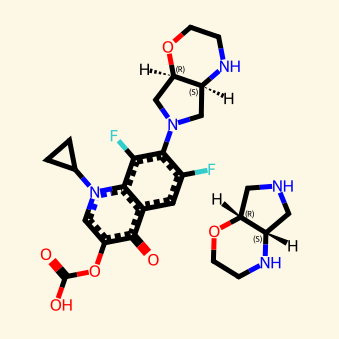 C1CO[C@@H]2CNC[C@@H]2N1.O=C(O)Oc1cn(C2CC2)c2c(F)c(N3C[C@@H]4NCCO[C@@H]4C3)c(F)cc2c1=O